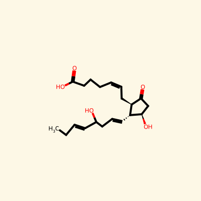 CC/C=C/C(O)C/C=C/[C@H]1[C@H](O)CC(=O)[C@@H]1C/C=C\CCCC(=O)O